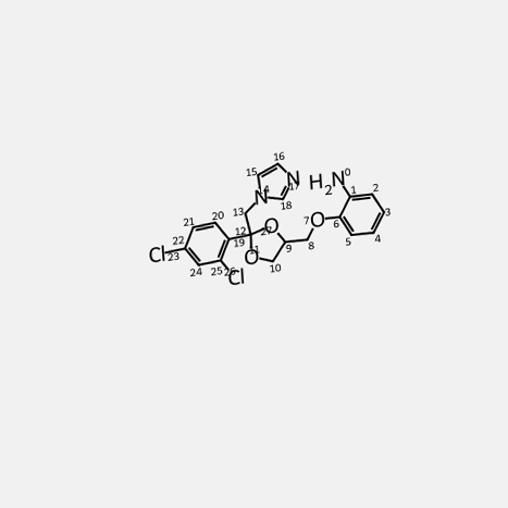 Nc1ccccc1OCC1COC(Cn2ccnc2)(c2ccc(Cl)cc2Cl)O1